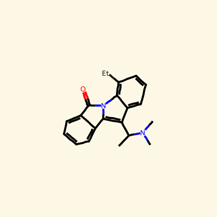 CCc1cccc2c(C(C)N(C)C)c3n(c12)C(=O)c1ccccc1-3